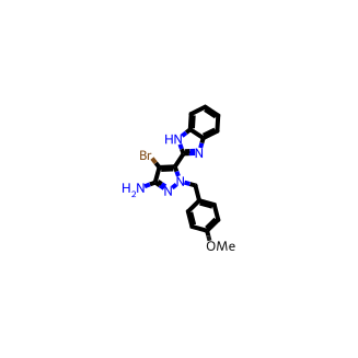 COc1ccc(Cn2nc(N)c(Br)c2-c2nc3ccccc3[nH]2)cc1